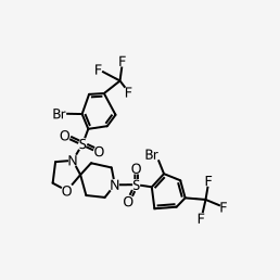 O=S(=O)(c1ccc(C(F)(F)F)cc1Br)N1CCC2(CC1)OCCN2S(=O)(=O)c1ccc(C(F)(F)F)cc1Br